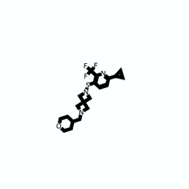 FC(F)(F)c1nc(C2CC2)ccc1SN1CC2(CN(CC3CCOCC3)C2)C1